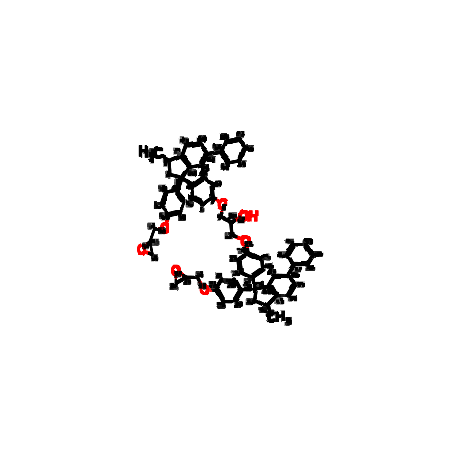 CC1CC(c2ccc(OCC(O)COc3ccc(C4(c5ccc(OCC6CO6)cc5)CC(C)c5ccc(-c6ccccc6)cc54)cc3)cc2)(c2ccc(OCC3CO3)cc2)c2cc(-c3ccccc3)ccc21